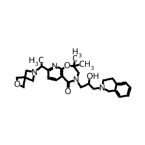 CC(c1ccc2c(n1)OC(C)(C)CN(CC(O)CN1CCc3ccccc3C1)C2=O)N1CC2(COC2)C1